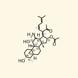 CC(=O)O[C@H]1C[C@@]2(C)[C@H](/C1=C(\C=C/C=C(C)C)C(C)=O)[C@H](N)[C@@H](O)[C@H]1[C@@]3(C)CC[C@@H](O)[C@@H](C)[C@@H]3CC[C@@]12C